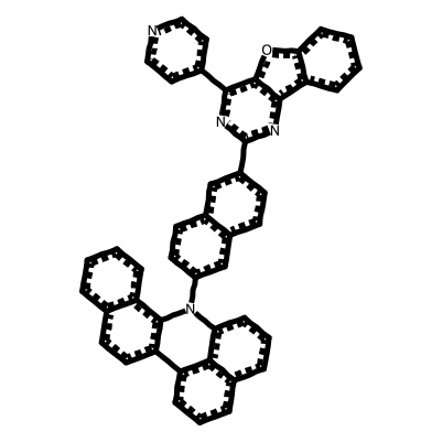 c1ccc2c3c(ccc2c1)-c1cccc2cccc(c12)N3c1ccc2cc(-c3nc(-c4ccncc4)c4oc5ccccc5c4n3)ccc2c1